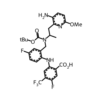 COc1ccc(N)c(CC(C)N(Cc2cc(F)ccc2Nc2cc(C(F)(F)F)c(F)cc2C(=O)O)C(=O)OC(C)(C)C)n1